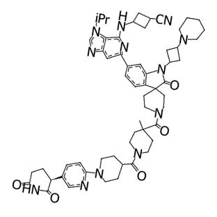 CC(C)n1cnc2cc(-c3ccc4c(c3)N(C3CC(N5CCCCC5)C3)C(=O)C43CCN(C(=O)C4(C)CCN(C(=O)C5CCN(c6ccc([C@@H]7CCC(=O)NC7=O)cn6)CC5)CC4)CC3)nc(NC3CC(C#N)C3)c21